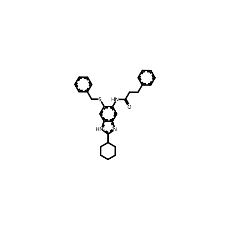 O=C(CCc1ccccc1)Nc1cc2nc(C3CCCCC3)[nH]c2cc1SCc1ccccc1